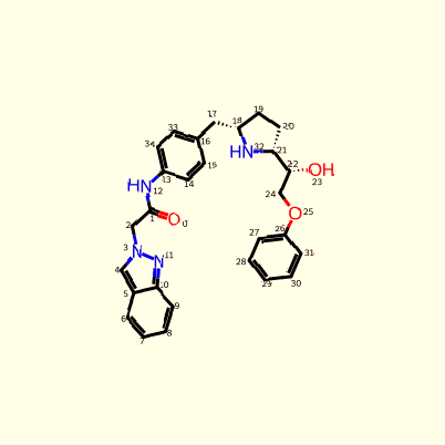 O=C(Cn1cc2ccccc2n1)Nc1ccc(C[C@@H]2CC[C@H]([C@H](O)COc3ccccc3)N2)cc1